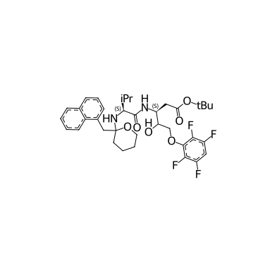 CC(C)[C@H](NC1(Cc2cccc3ccccc23)CCCCO1)C(=O)N[C@@H](CC(=O)OC(C)(C)C)C(O)COc1c(F)c(F)cc(F)c1F